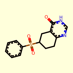 O=c1[nH]cnc2c1CC(S(=O)(=O)c1ccccc1)CC2